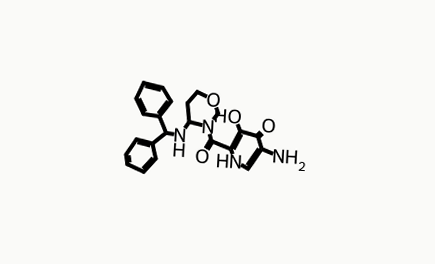 Nc1c[nH]c(C(=O)N2COCCC2NC(c2ccccc2)c2ccccc2)c(O)c1=O